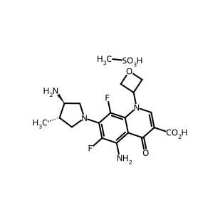 CS(=O)(=O)O.C[C@H]1CN(c2c(F)c(N)c3c(=O)c(C(=O)O)cn(C4COC4)c3c2F)C[C@@H]1N